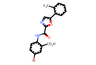 O=C(Nc1ccc(Br)cc1C(=O)O)c1ncc(-c2ccccc2C(F)(F)F)o1